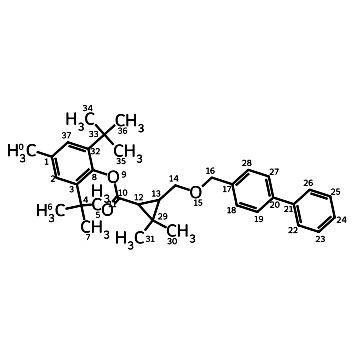 Cc1cc(C(C)(C)C)c(OC(=O)C2C(COCc3ccc(-c4ccccc4)cc3)C2(C)C)c(C(C)(C)C)c1